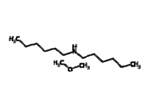 CCCCCCNCCCCCC.COC